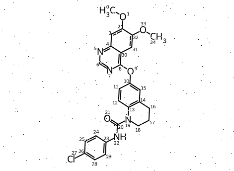 COc1cc2ncnc(Oc3ccc4c(c3)CCCN4C(=O)Nc3ccc(Cl)cc3)c2cc1OC